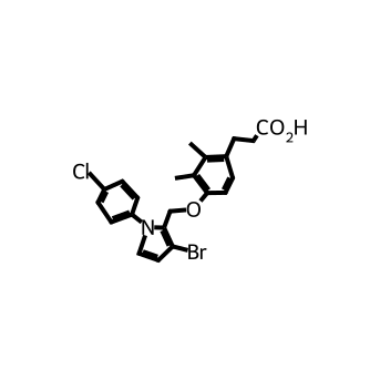 Cc1c(CCC(=O)O)ccc(OCc2c(Br)ccn2-c2ccc(Cl)cc2)c1C